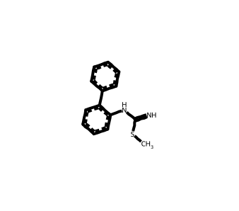 CSC(=N)Nc1ccccc1-c1ccccc1